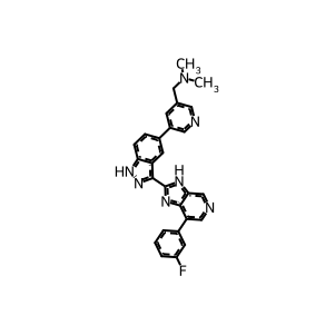 CN(C)Cc1cncc(-c2ccc3[nH]nc(-c4nc5c(-c6cccc(F)c6)cncc5[nH]4)c3c2)c1